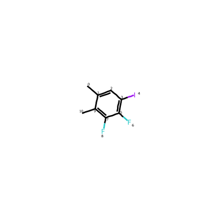 Cc1cc(I)c(F)c(F)c1C